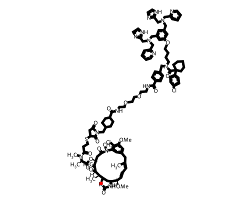 COc1cc2cc(c1Cl)N(C)C(=O)C[C@H](OC(=O)[C@@H](C)N(C)C(=O)CCSC1CC(=O)N(CC3CCC(C(=O)NCCOCCOCCNC(=O)c4ccc(CN(CCCCOc5cc(CN(Cc6ccccn6)Cc6ncc[nH]6)cc(CN(Cc6ccccn6)Cc6ncc[nH]6)c5)C(=O)C5(c6ccc(Cl)cc6)CCCCC5)cc4)CC3)C1=O)[C@]1(C)O[C@@H]1[C@H](C)[C@@H]1C[C@@](O)(NC(=O)O1)[C@H](OC)/C=C/C=C(\C)C2